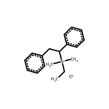 CC[N+](C)(C)C(Cc1ccccc1)c1ccccc1.[Cl-]